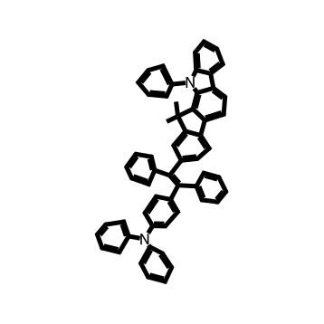 CC1(C)c2cc(/C(=C(\c3ccccc3)c3ccc(N(c4ccccc4)c4ccccc4)cc3)c3ccccc3)ccc2-c2ccc3c4ccccc4n(-c4ccccc4)c3c21